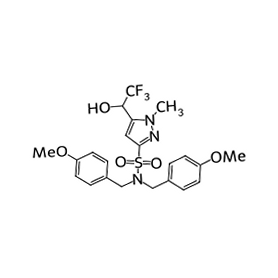 COc1ccc(CN(Cc2ccc(OC)cc2)S(=O)(=O)c2cc(C(O)C(F)(F)F)n(C)n2)cc1